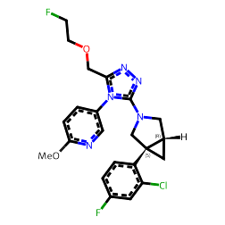 COc1ccc(-n2c(COCCF)nnc2N2C[C@@H]3C[C@]3(c3ccc(F)cc3Cl)C2)cn1